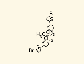 CC(C)(C)C(Cc1ccc(-c2ccc(Br)s2)cc1)Cc1ccc(-c2ccc(Br)s2)cc1